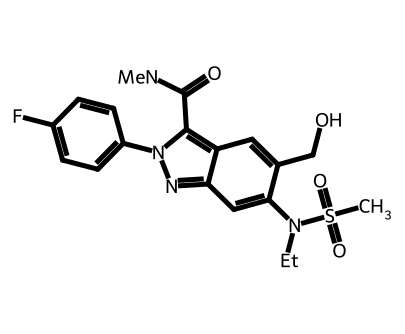 CCN(c1cc2nn(-c3ccc(F)cc3)c(C(=O)NC)c2cc1CO)S(C)(=O)=O